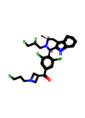 C[C@@H]1Cc2c([nH]c3ccccc23)[C@@H](c2c(F)cc(C(=O)C3CN(CCCF)C3)cc2F)N1CC(F)CF